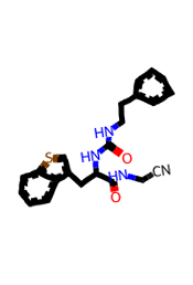 N#CCNC(=O)C(Cc1csc2ccccc12)NC(=O)NCCc1ccccc1